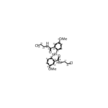 COc1ccc(SSc2ccc(OC)cc2C(=O)NCCCl)c(C(=O)NCCCl)c1